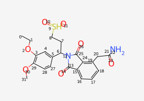 CCOc1cc(C(CC[SH](=O)=O)N2C(=O)c3cccc(CC(N)=O)c3C2=O)ccc1OC